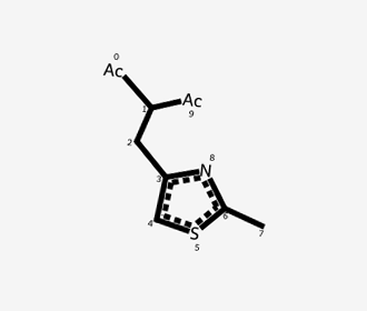 CC(=O)C(Cc1csc(C)n1)C(C)=O